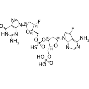 Nc1nc2c(ncn2[C@H]2C[C@H](F)[C@@H](COP(=O)(S)O[C@H]3C[C@H](n4cc(F)c5c(N)ncnc54)O[C@@H]3COP(=O)(O)O)O2)c(=O)[nH]1